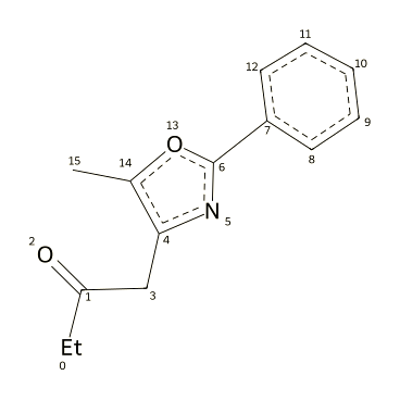 CCC(=O)Cc1nc(-c2ccccc2)oc1C